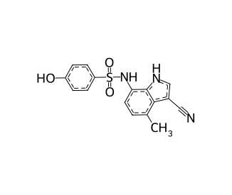 Cc1ccc(NS(=O)(=O)c2ccc(O)cc2)c2[nH]cc(C#N)c12